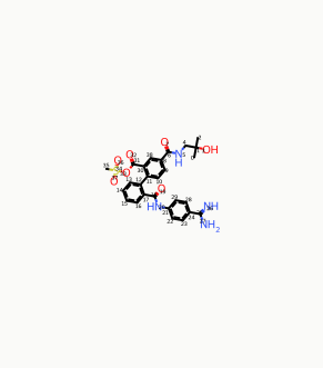 CC(C)(O)CNC(=O)c1ccc(-c2ccccc2C(=O)Nc2ccc(C(=N)N)cc2)c(C(=O)OS(C)(=O)=O)c1